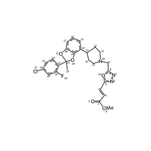 COC(=O)/C=C/c1nnc(CN2CCC(c3cccc4c3OC(C)(c3ccc(Cl)cc3F)O4)CC2)o1